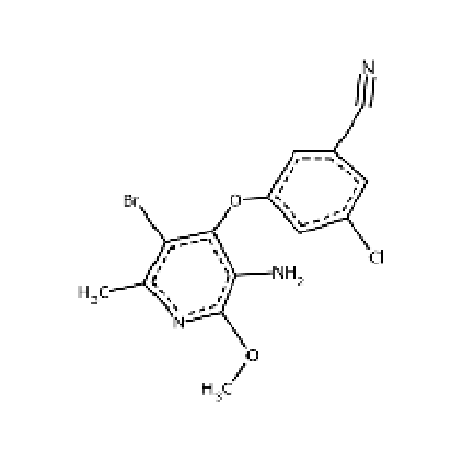 COc1nc(C)c(Br)c(Oc2cc(Cl)cc(C#N)c2)c1N